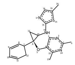 Cc1ncc(O[C@@]2(C3C=CC=CC3)CC2Nc2ncc(C)s2)c(C)n1